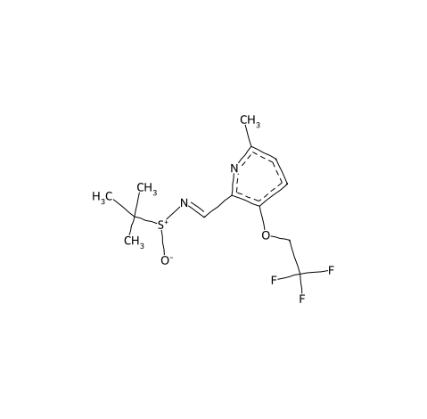 Cc1ccc(OCC(F)(F)F)c(C=N[S+]([O-])C(C)(C)C)n1